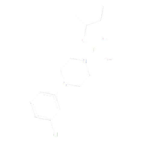 CCC(C)OP(=O)(O)N1CCN(c2cccc(Cl)c2)CC1